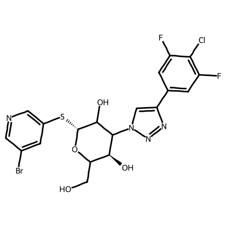 OCC1O[C@H](Sc2cncc(Br)c2)C(O)C(n2cc(-c3cc(F)c(Cl)c(F)c3)nn2)[C@H]1O